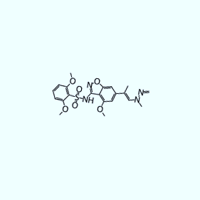 C=NN(C)/C=C(\C)c1cc(OC)c2c(NS(=O)(=O)c3c(OC)cccc3OC)noc2c1